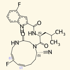 CC(C)C[C@H](NC(=O)c1cc2c(F)cccc2[nH]1)C(=O)N1CC(=O)NC/C=C(F)\C=C/CC[C@H]1C#N